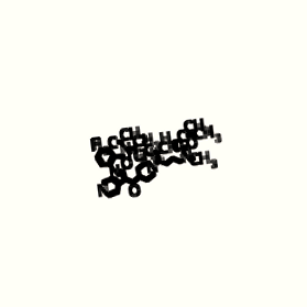 CC(C)[C@@H](CCCN(C)C(=O)OC(C)(C)C)N1CCC(C(=O)c2cn(-c3ccc(F)cc3C(=O)N(C(C)C)C(C)C)c3cnccc23)CC1